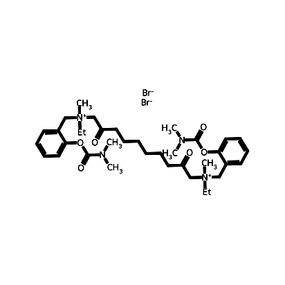 CC[N+](C)(CC(=O)CCCCCCC(=O)C[N+](C)(CC)Cc1ccccc1OC(=O)N(C)C)Cc1ccccc1OC(=O)N(C)C.[Br-].[Br-]